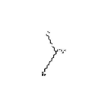 CC(C)CCCCCCCCCCCCC(CCCCCCCCCC(C)C)C(=O)O